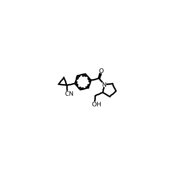 N#CC1(c2ccc(C(=O)N3CCCC3CO)cc2)CC1